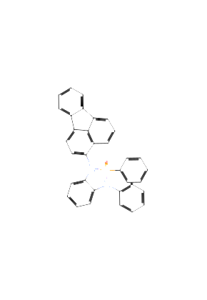 O=P1(c2ccccc2)N(c2ccccc2)c2ccccc2N1c1ccc2c3c(cccc13)-c1ccccc1-2